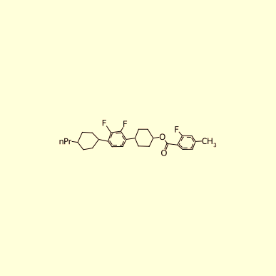 CCCC1CCC(c2ccc(C3CCC(OC(=O)c4ccc(C)cc4F)CC3)c(F)c2F)CC1